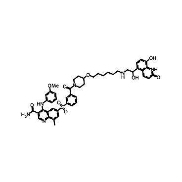 COc1cccc(Nc2c(C(N)=O)cnc3c(C)cc(S(=O)(=O)c4cccc(C(=O)N5CCC(OCCCCCCNCC(O)c6ccc(O)c7[nH]c(=O)ccc67)CC5)c4)cc23)c1